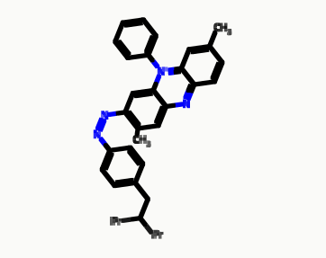 Cc1ccc2nc3cc(C)c(/N=N\c4ccc(CC(C(C)C)C(C)C)cc4)cc3[n+](-c3ccccc3)c2c1